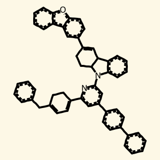 C1=C(Cc2ccccc2)CCC(c2cc(-c3ccc(-c4ccccc4)cc3)cc(N3c4ccccc4C4C=C(c5ccc6oc7ccccc7c6c5)CCC43)n2)=C1